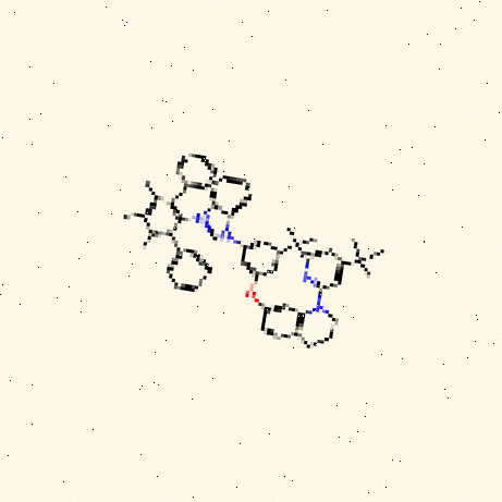 Cc1c(C)c(-c2ccccc2)c(-[n+]2cn(-c3cc(Oc4ccc5c(c4)N(c4cc(C(C)(C)C)ccn4)CCC5)cc(C(C)(C)C)c3)c3ccccc32)c(-c2ccccc2)c1C